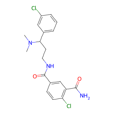 CN(C)C(CCNC(=O)c1ccc(Cl)c(C(N)=O)c1)c1cccc(Cl)c1